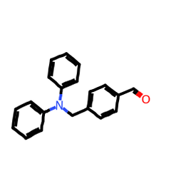 O=Cc1ccc(CN(c2ccccc2)c2ccccc2)cc1